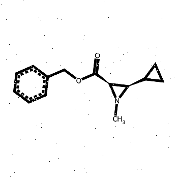 CN1[C@H](C2CC2)[C@@H]1C(=O)OCc1ccccc1